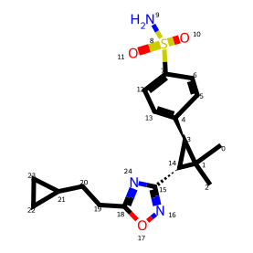 CC1(C)[C@H](c2ccc(S(N)(=O)=O)cc2)[C@H]1c1noc(CCC2CC2)n1